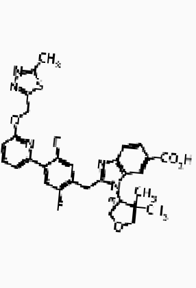 Cc1nnc(COc2cccc(-c3cc(F)c(Cc4nc5ccc(C(=O)O)cc5n4[C@@H]4COCC4(C)C)cc3F)n2)s1